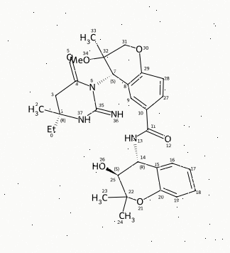 CC[C@]1(C)CC(=O)N([C@H]2c3cc(C(=O)N[C@@H]4c5ccccc5OC(C)(C)[C@H]4O)ccc3OCC2(C)OC)C(=N)N1